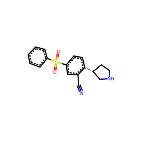 N#Cc1cc(S(=O)(=O)c2ccccc2)ccc1[C@@H]1CCNC1